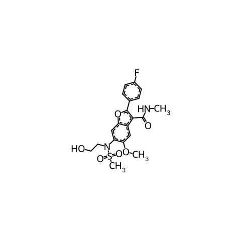 CNC(=O)c1c(-c2ccc(F)cc2)oc2cc(N(CCO)S(C)(=O)=O)c(OC)cc12